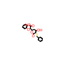 O=C1OC(C(Oc2ccccc2)C(=O)O)CC(O)=C1SCc1ccccc1